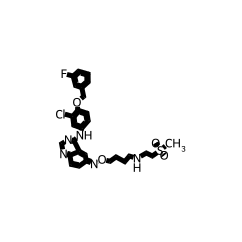 CS(=O)(=O)CCNCCCCO/N=C1/C=CC2=NCN=C(Nc3ccc(OCc4cccc(F)c4)c(Cl)c3)C2=C1